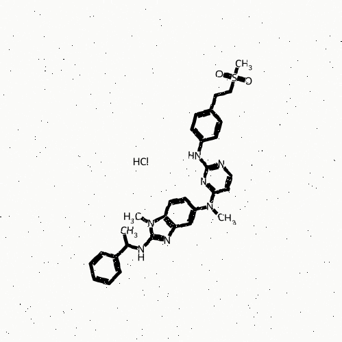 CC(Nc1nc2cc(N(C)c3ccnc(Nc4ccc(CCS(C)(=O)=O)cc4)n3)ccc2n1C)c1ccccc1.Cl